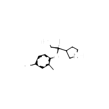 Cc1cc(Cl)ccc1O[C@](I)(CC(C)C)C1CCNC1